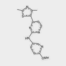 COc1ccc(Nc2nccc(-c3sc(C)nc3C)n2)cn1